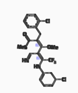 COC(=C(\Cc1ccccc1Cl)C(=O)SC)/C(C=N)=C(/NC1=CC=CC(Cl)C1)C(F)(F)F